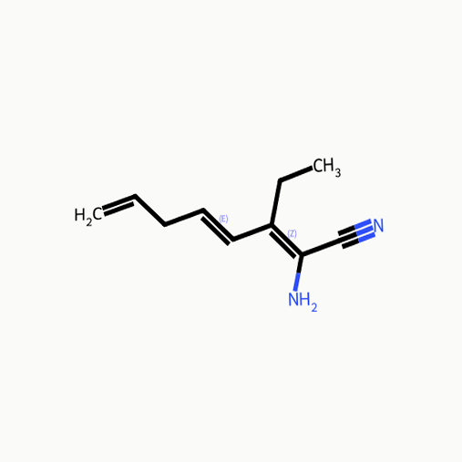 C=CC/C=C/C(CC)=C(\N)C#N